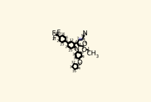 CCOC(=O)c1c(/C=C/C#N)c2cc(-c3ccc(C(F)(F)F)cc3)ccc2n1-c1ccc(OC2CCCC2)cc1